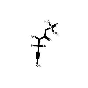 [2H]C([2H])(C#CC)C(C)C(=O)CP(C)(C)=O